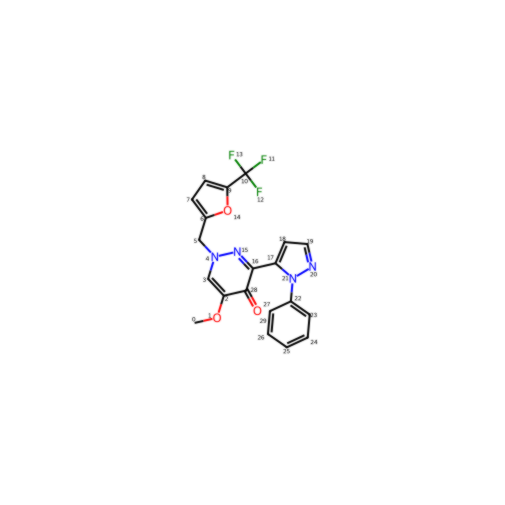 COc1cn(Cc2ccc(C(F)(F)F)o2)nc(-c2ccnn2-c2ccccc2)c1=O